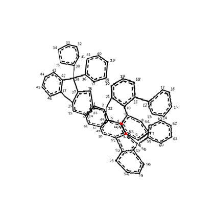 c1ccc(-c2ccccc2-c2c(-c3ccccc3)cccc2N(c2ccc3c(c2)C(c2ccccc2)(c2ccccc2)c2ccccc2-3)c2ccc3c4ccccc4n(-c4ccccc4)c3c2)cc1